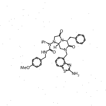 COc1ccc(CNC(=O)N(C(C)C)N2CC(=O)N3[C@@H](Cc4ccccc4)C(=O)N(Cc4cccc5sc(N)nc45)C[C@@H]32)cc1